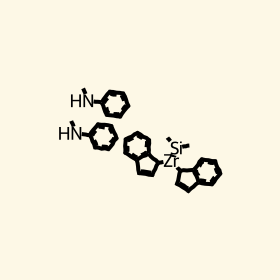 CNc1ccccc1.CNc1ccccc1.C[Si](C)=[Zr]([CH]1C=Cc2ccccc21)[CH]1C=Cc2ccccc21